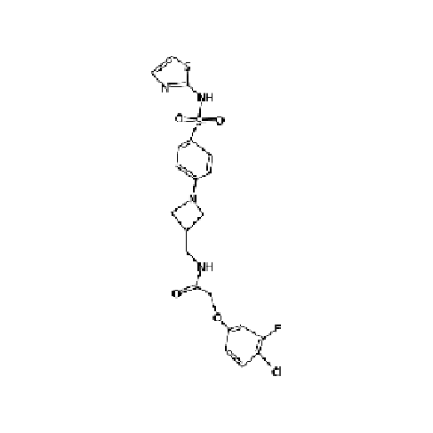 O=C(COc1ccc(Cl)c(F)c1)NCC1CN(c2ccc(S(=O)(=O)Nc3nccs3)cc2)C1